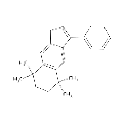 CC1(C)CCC(C)(C)c2cc3c(cc21)CC=C3c1ccccc1